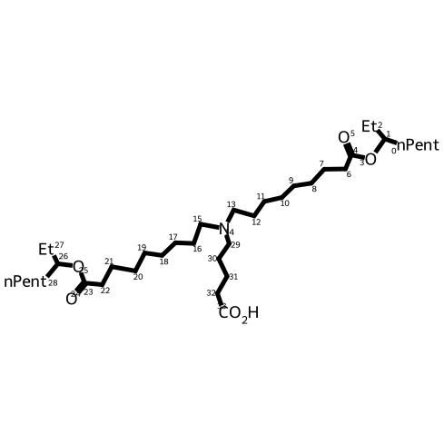 CCCCCC(CC)OC(=O)CCCCCCCCN(CCCCCCCCC(=O)OC(CC)CCCCC)CCCCC(=O)O